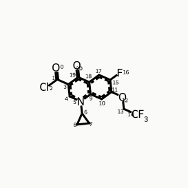 O=C(Cl)c1cn(C2CC2)c2cc(OCC(F)(F)F)c(F)cc2c1=O